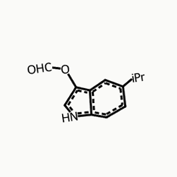 CC(C)c1ccc2[nH]cc(OC=O)c2c1